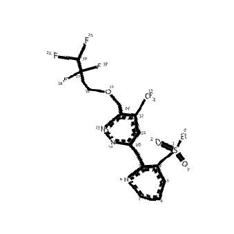 CCS(=O)(=O)c1cccnc1-c1cc(C(F)(F)F)c(OCC(F)(F)C(F)F)nn1